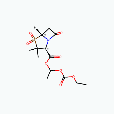 CCOC(=O)OC(C)OC(=O)[C@@H]1N2C(=O)C[C@H]2S(=O)(=O)C1(C)C